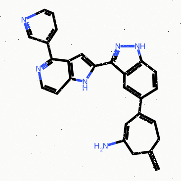 C=C1CC=C(c2ccc3[nH]nc(-c4cc5c(-c6cccnc6)nccc5[nH]4)c3c2)C=C(N)C1